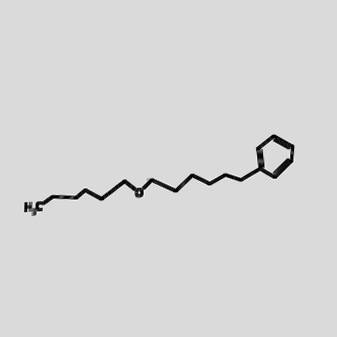 CCCCCCO[CH]CCCCCc1ccccc1